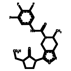 CC1Cc2noc(N3CCC(CC(=O)O)C3=O)c2CN1C(=O)Nc1cc(F)c(F)c(F)c1